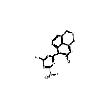 C[S+]([O-])c1nc(N)nc(-c2c(Cl)cc3c4c(cccc24)COC3)n1